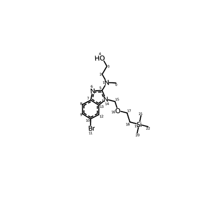 CN(CCO)c1nc2ccc(Br)cc2n1COCC[Si](C)(C)C